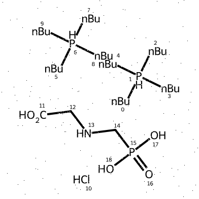 CCCC[PH](CCCC)(CCCC)CCCC.CCCC[PH](CCCC)(CCCC)CCCC.Cl.O=C(O)CNCP(=O)(O)O